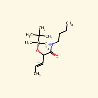 C/C=C/C(O[Si](C)(C)C(C)(C)C)C(=O)NCCCC